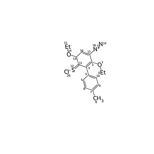 CCOC1=C(c2ccc(C)cc2)C(=S)C(OCC)C=C1[N+]#N.[Cl-]